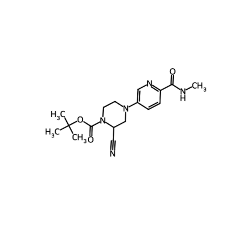 CNC(=O)c1ccc(N2CCN(C(=O)OC(C)(C)C)C(C#N)C2)cn1